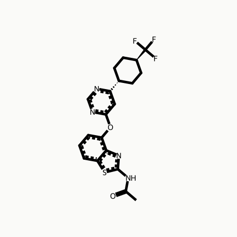 CC(=O)Nc1nc2c(Oc3cc([C@H]4CC[C@H](C(F)(F)F)CC4)ncn3)cccc2s1